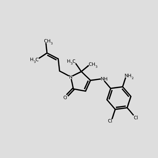 CC(C)=CCN1C(=O)C=C(Nc2cc(Cl)c(Cl)cc2N)C1(C)C